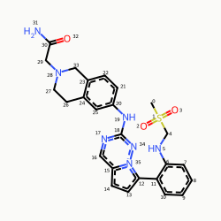 CS(=O)(=O)CNc1ccccc1-c1ccc2cnc(Nc3ccc4c(c3)CCN(CC(N)=O)C4)nn12